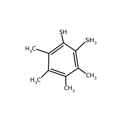 Cc1c(C)c(C)c(S)c([SiH3])c1C